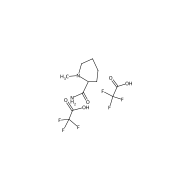 CN1CCCCC1C(N)=O.O=C(O)C(F)(F)F.O=C(O)C(F)(F)F